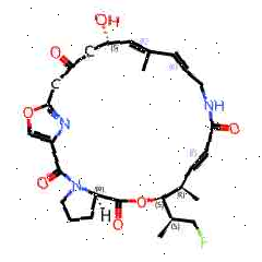 CC1=C\[C@@H](O)CC(=O)Cc2nc(co2)C(=O)N2CCC[C@@H]2C(=O)O[C@H]([C@H](C)CF)[C@H](C)/C=C/C(=O)NC\C=C\1